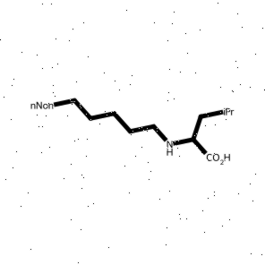 CCCCCCCCCCCCCCNC(CC(C)C)C(=O)O